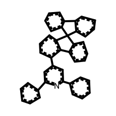 c1ccc(-c2cc(-c3cccc4c3-c3ccccc3C43c4ccccc4-c4ccccc43)cc(-c3ccccc3)n2)cc1